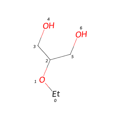 CCOC(CO)CO